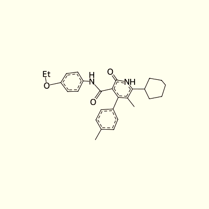 CCOc1ccc(NC(=O)c2c(-c3ccc(C)cc3)c(C)c(C3CCCCC3)[nH]c2=O)cc1